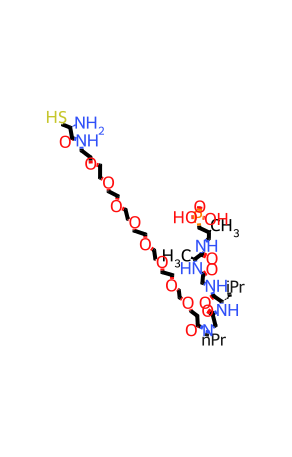 CCCN(CC(=O)N[C@@H](CC(C)C)C(=O)NCC(=O)N[C@@H](C)C(=O)NC[C@@H](C)CP(=O)(O)O)C(=O)CCOCCOCCOCCOCCOCCOCCOCCOCCNC(=O)[C@@H](N)CS